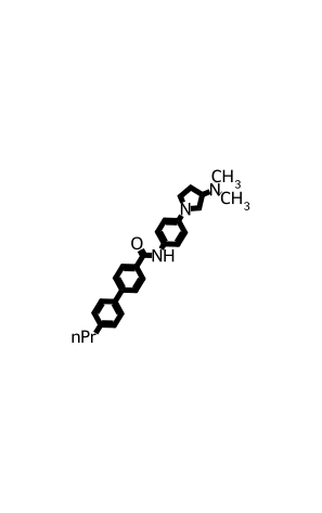 CCCc1ccc(-c2ccc(C(=O)Nc3ccc(N4CCC(N(C)C)C4)cc3)cc2)cc1